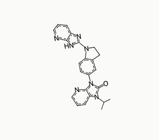 CC(C)n1c(=O)n(-c2ccc3c(c2)CCN3c2nc3cccnc3[nH]2)c2ncccc21